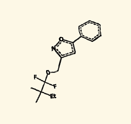 CCC(C)(C)C(F)(F)OCc1cc(-c2ccccc2)on1